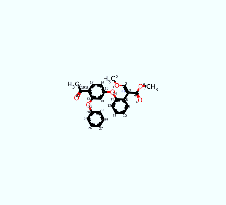 CO/C=C(/C(=O)OC)c1ccccc1Oc1ccc(C(C)=O)c(Oc2ccccc2)c1